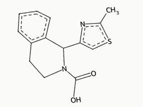 Cc1nc(C2c3ccccc3CCN2C(=O)O)cs1